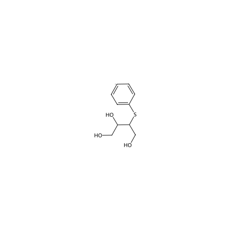 OCC(O)C(CO)Sc1cc[c]cc1